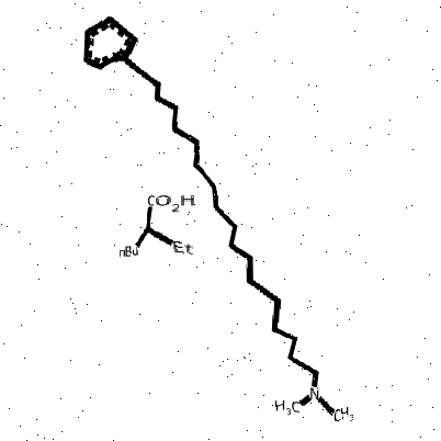 CCCCC(CC)C(=O)O.CN(C)CCCCCCCCCCCCCCCCCc1ccccc1